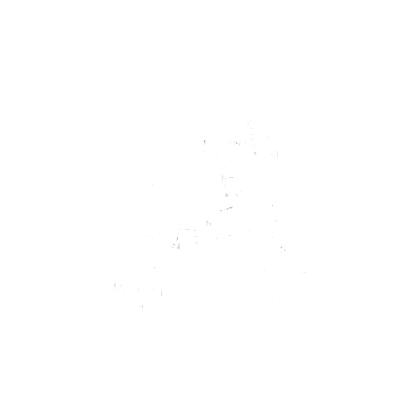 CC(C)(C)COC(=O)N[C@H]1CCCCC/C=C\[C@@H]2C[C@@]2(C(=O)NS(=O)(=O)C2(C)CC2)NC(=O)[C@@H]2C[C@]3(CCc4c(c(C5CC5)nc5c(F)cccc45)O3)CN2C1=O